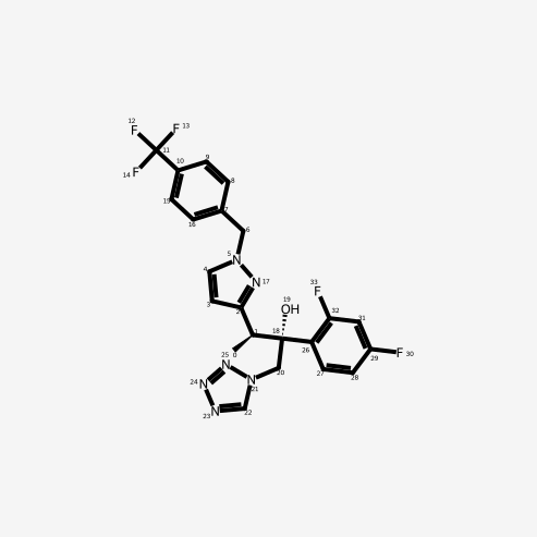 C[C@@H](c1ccn(Cc2ccc(C(F)(F)F)cc2)n1)[C@](O)(Cn1cnnn1)c1ccc(F)cc1F